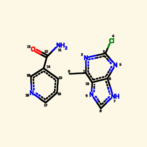 Cc1nc(Cl)nc2[nH]cnc12.NC(=O)c1cccnc1